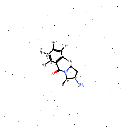 [2H]c1c([2H])c([2H])c(C(=O)N2CC[C@@H](N)[C@H]2C)c([2H])c1[2H]